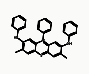 Cc1cc2nc3cc(C)c(Nc4ccccc4)cc3[n+](-c3ccccc3)c2cc1Nc1ccccc1